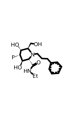 CCNC(=O)[C@@H]1[C@@H](O)[C@H](F)[C@H](O)[C@@H](CO)N1CCCc1ccccc1